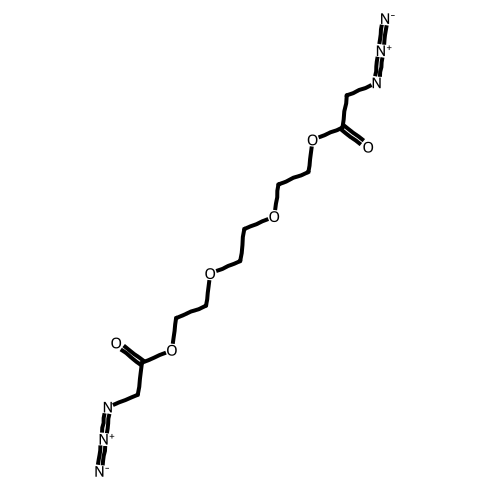 [N-]=[N+]=NCC(=O)OCCOCCOCCOC(=O)CN=[N+]=[N-]